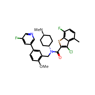 CN[C@H]1CC[C@H](N(Cc2cc(-c3cncc(F)c3)ccc2OC)C(=O)c2sc3c(F)ccc(C)c3c2Cl)CC1